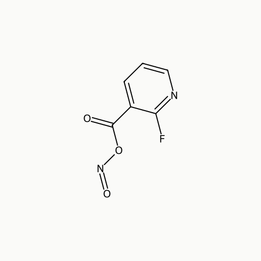 O=NOC(=O)c1cccnc1F